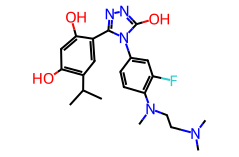 CC(C)c1cc(-c2nnc(O)n2-c2ccc(N(C)CCN(C)C)c(F)c2)c(O)cc1O